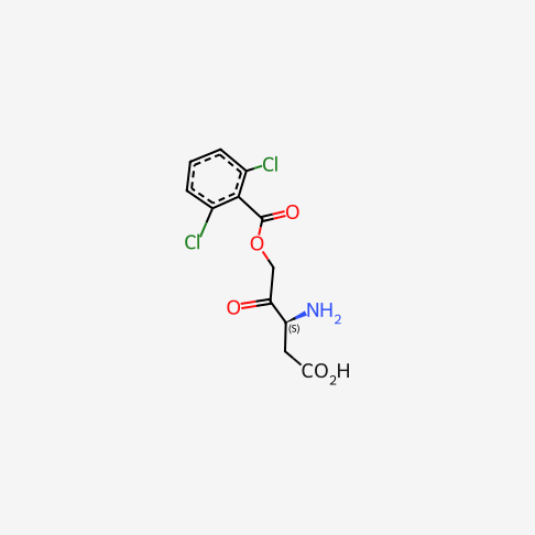 N[C@@H](CC(=O)O)C(=O)COC(=O)c1c(Cl)cccc1Cl